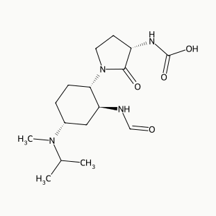 CC(C)N(C)[C@@H]1CC[C@H](N2CC[C@H](NC(=O)O)C2=O)[C@@H](NC=O)C1